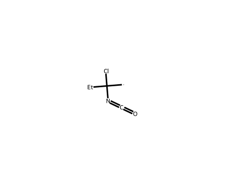 [CH2]C(Cl)(CC)N=C=O